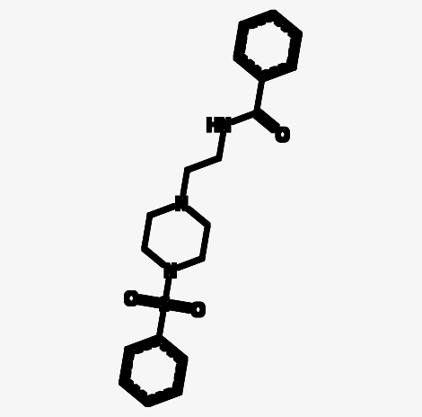 O=C(NCCN1CCN(S(=O)(=O)c2ccccc2)CC1)c1ccccc1